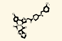 CN(Cc1cccc(C(F)(F)F)c1)C1CCN(C(=O)Cn2cc(NC(=O)c3cnn4cccnc34)c(-c3cc(Cl)ccc3OC(F)F)n2)CC1